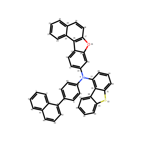 c1ccc2c(-c3ccc(N(c4ccc5c(c4)oc4ccc6ccccc6c45)c4cccc5sc6ccccc6c45)cc3)cccc2c1